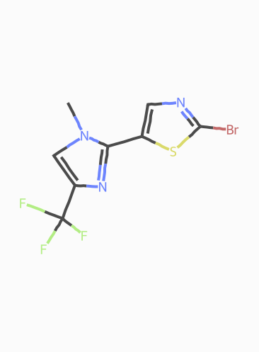 Cn1cc(C(F)(F)F)nc1-c1cnc(Br)s1